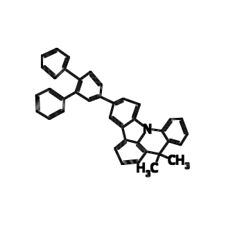 CC1(C)c2ccccc2-n2c3ccc(-c4ccc(-c5ccccc5)c(-c5ccccc5)c4)cc3c3cccc1c32